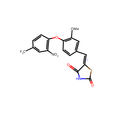 COc1cc(/C=C2/SC(=O)NC2=O)ccc1Oc1ccc(C(F)(F)F)cc1[N+](=O)[O-]